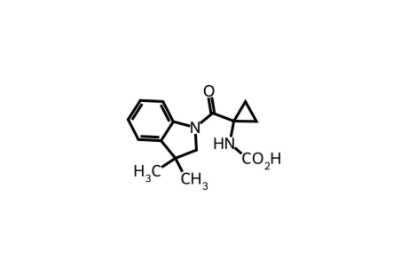 CC1(C)CN(C(=O)C2(NC(=O)O)CC2)c2ccccc21